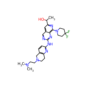 CC(O)c1cc2cnc(Nc3ccc4c(n3)CCN(CCN(C)C)C4)nc2c(N2CCC(F)(F)CC2)n1